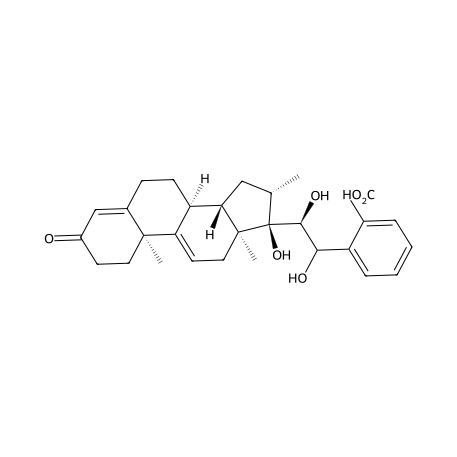 C[C@H]1C[C@H]2[C@@H]3CCC4=CC(=O)CC[C@]4(C)C3=CC[C@]2(C)[C@@]1(O)[C@@H](O)C(O)c1ccccc1C(=O)O